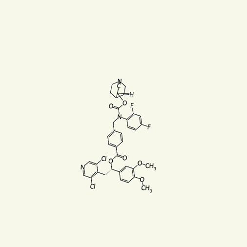 COc1ccc([C@H](Cc2c(Cl)cncc2Cl)OC(=O)c2ccc(CN(C(=O)O[C@H]3CN4CCC3CC4)c3ccc(F)cc3F)cc2)cc1OC